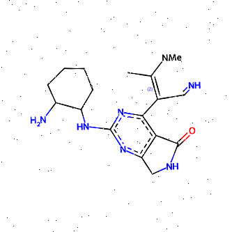 CN/C(C)=C(\C=N)c1nc(NC2CCCCC2N)nc2c1C(=O)NC2